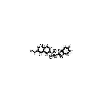 CCc1cnc2ccc(S(=O)(=O)Oc3nc4ccccc4s3)cc2c1